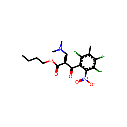 CCCCOC(=O)C(=CN(C)C)C(=O)c1c(F)c(C)c(F)c(F)c1[N+](=O)[O-]